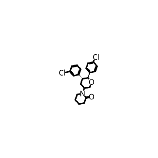 O=C1CCCCN1C1CO[C@H](c2ccc(Cl)cc2)[C@@H](c2cccc(Cl)c2)C1